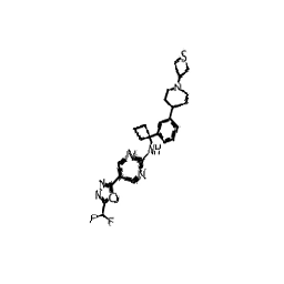 FC(F)c1nnc(-c2cnc(NC3(c4cccc(C5CCN(C6CSC6)CC5)c4)CCC3)nc2)o1